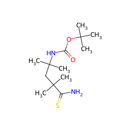 CC(C)(CC(C)(C)C(N)=S)NC(=O)OC(C)(C)C